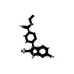 CCOC(=O)[C@H]1CC[C@@H](n2c(N)nc3cc(F)ccc32)CC1